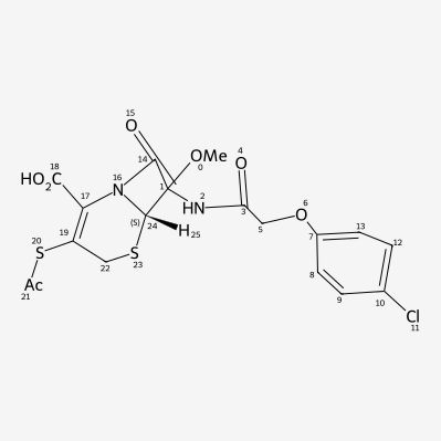 COC1(NC(=O)COc2ccc(Cl)cc2)C(=O)N2C(C(=O)O)=C(SC(C)=O)CS[C@H]21